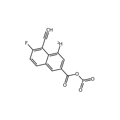 [2H]c1cc(C(=O)OP(=O)=O)cc2ccc(F)c(C#C)c12